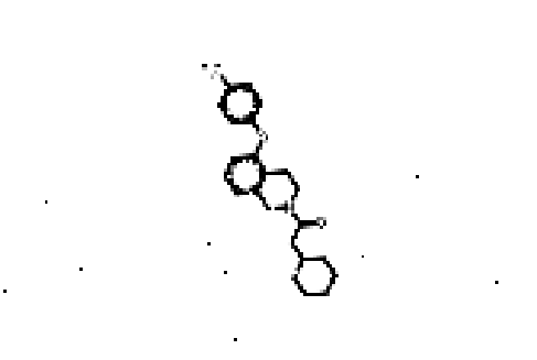 O=C(CC1CCCCC1)N1CCc2c(cccc2Oc2ccc(C(F)(F)F)cc2)C1